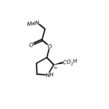 CNCC(=O)OC1CCN[C@@H]1C(=O)O